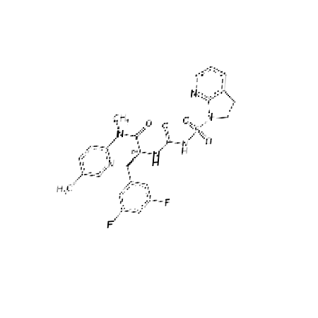 Cc1ccc(N(C)C(=O)[C@H](Cc2cc(F)cc(F)c2)NC(=O)NS(=O)(=O)N2CCc3cccnc32)nc1